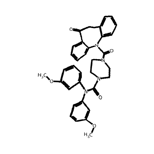 COc1cccc(N(C(=O)N2CCN(C(=O)N3c4ccccc4CC(=O)c4ccccc43)CC2)c2cccc(OC)c2)c1